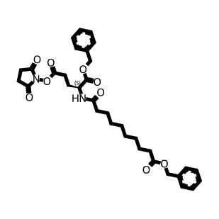 O=C(CCCCCCCCC(=O)OCc1ccccc1)N[C@@H](CCC(=O)ON1C(=O)CCC1=O)C(=O)OCc1ccccc1